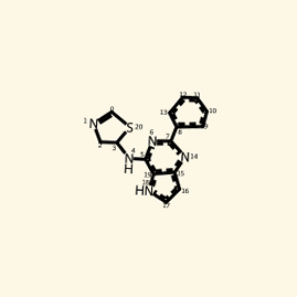 C1=NCC(Nc2nc(-c3ccccc3)nc3cc[nH]c23)S1